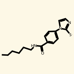 CCCCCCNC(=O)c1ccc(-n2ccnc2[S])cc1